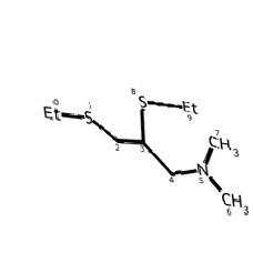 CCSCC(CN(C)C)SCC